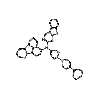 c1ccc(-c2ccc(-c3ccc(N(c4cc5sc6ccccc6c5cn4)c4ccc5c6c(cccc46)-c4ccccc4-5)cc3)cc2)cc1